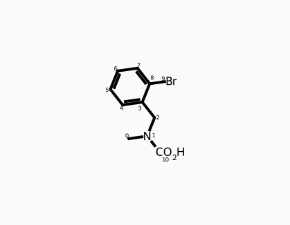 CN(Cc1ccccc1Br)C(=O)O